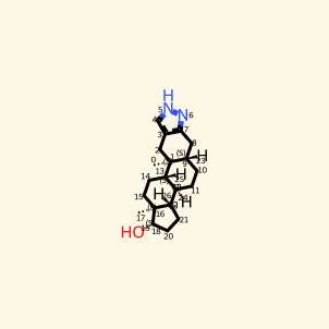 C[C@]12Cc3c[nH]nc3C[C@@H]1CC[C@@H]1[C@@H]2CC[C@]2(C)[C@@H](O)CC[C@@H]12